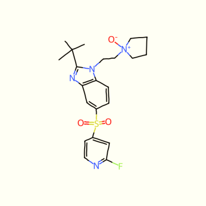 CC(C)(C)c1nc2cc(S(=O)(=O)c3ccnc(F)c3)ccc2n1CC[N+]1([O-])CCCC1